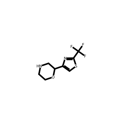 FC(F)(F)c1nc(C2CNCCO2)cs1